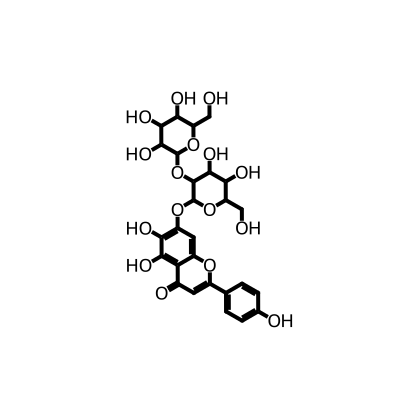 O=c1cc(-c2ccc(O)cc2)oc2cc(OC3OC(CO)C(O)C(O)C3OC3OC(CO)C(O)C(O)C3O)c(O)c(O)c12